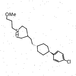 COCCC[SiH]1CCC(CC[C@H]2CC[C@H](c3ccc(Cl)cc3)CC2)CC1